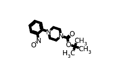 CC(C)(C)OC(=O)N1CCN(c2ccccc2N=O)CC1